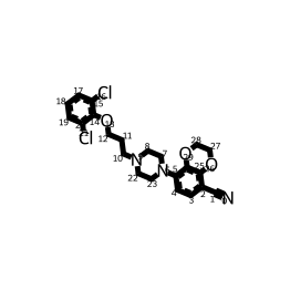 N#Cc1ccc(N2CCN(CCCOc3c(Cl)cccc3Cl)CC2)c2c1OCCO2